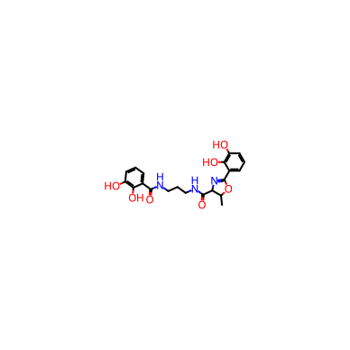 CC1OC(c2cccc(O)c2O)=NC1C(=O)NCCCNC(=O)c1cccc(O)c1O